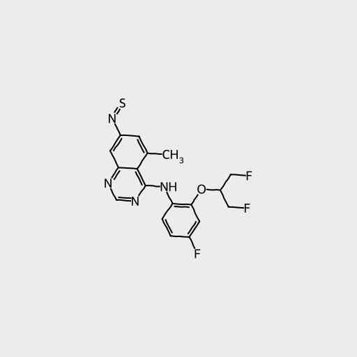 Cc1cc(N=S)cc2ncnc(Nc3ccc(F)cc3OC(CF)CF)c12